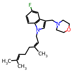 CC(C)=CCCC(C)=CCn1cc(CN2CCOCC2)c2cc(F)ccc21